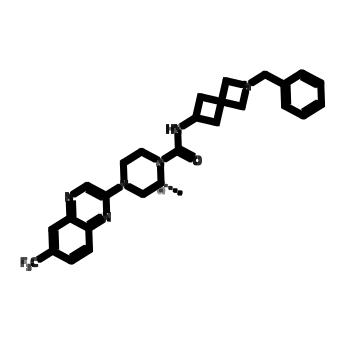 C[C@@H]1CN(c2cnc3cc(C(F)(F)F)ccc3n2)CCN1C(=O)NC1CC2(C1)CN(Cc1ccccc1)C2